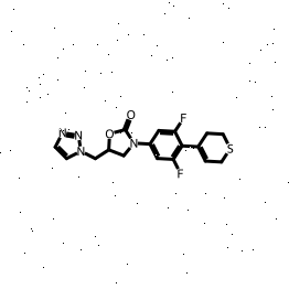 O=C1OC(Cn2ccnn2)CN1c1cc(F)c(C2=CCSCC2)c(F)c1